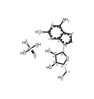 Cc1nc(N)c2ncn([C@@H]3O[C@H](CO)[C@@H](O)[C@H]3O)c2n1.O=P(O)(O)O